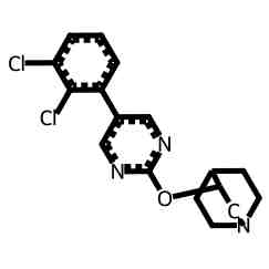 Clc1cccc(-c2cnc(OC3CN4CCC3CC4)nc2)c1Cl